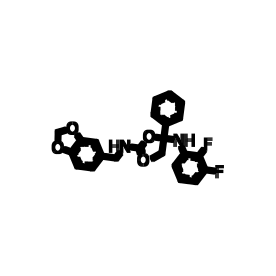 CCC(Nc1cccc(F)c1F)(OC(=O)NCc1ccc2c(c1)OCO2)c1ccccc1